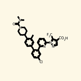 Cc1cc(-c2ccc(Cl)cc2-c2cccc(-n3ncc(C(=O)O)c3C(F)(F)F)n2)ccc1C1CCN(C(=O)N(C)C)CC1